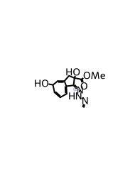 C=NN/N=C1\C2=CC=CC(O)C=C2CC1(O)C(=O)OC